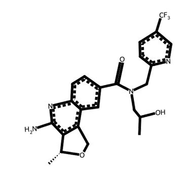 CC(O)CN(Cc1ccc(C(F)(F)F)cn1)C(=O)c1ccc2nc(N)c3c(c2c1)CO[C@@H]3C